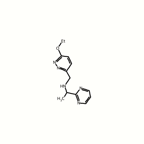 CCOc1ccc(CNC(C)c2ncccn2)nn1